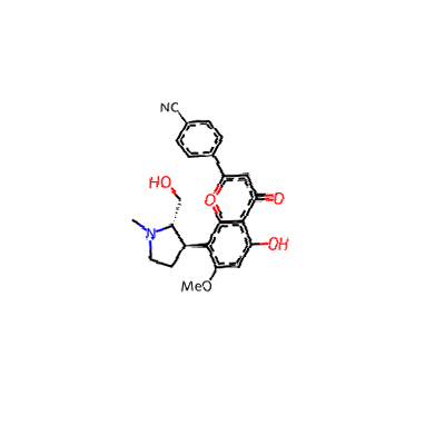 COc1cc(O)c2c(=O)cc(-c3ccc(C#N)cc3)oc2c1[C@H]1CCN(C)[C@@H]1CO